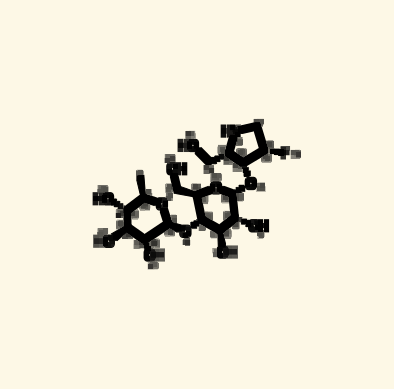 C[C@H]1O[C@@H](O[C@H]2[C@H](O)[C@@H](O)[C@@H](O[C@@H]3[C@H](CO)NC[C@@H]3F)O[C@@H]2CO)[C@H](O)[C@@H](O)[C@@H]1O